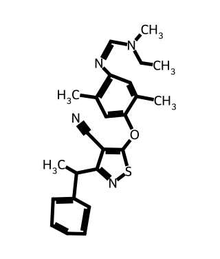 CCN(C)/C=N\c1cc(C)c(Oc2snc(C(C)c3ccccc3)c2C#N)cc1C